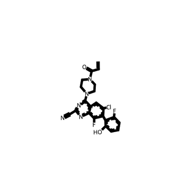 C=CC(=O)N1CCN(c2nc(C#N)nc3c(F)c(-c4c(O)cccc4F)c(Cl)cc23)CC1